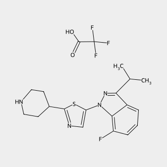 CC(C)c1nn(-c2cnc(C3CCNCC3)s2)c2c(F)cccc12.O=C(O)C(F)(F)F